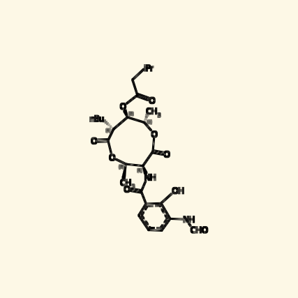 CCCC[C@H]1C(=O)O[C@H](C)[C@H](NC(=O)c2cccc(NC=O)c2O)C(=O)O[C@@H](C)[C@@H]1OC(=O)CC(C)C